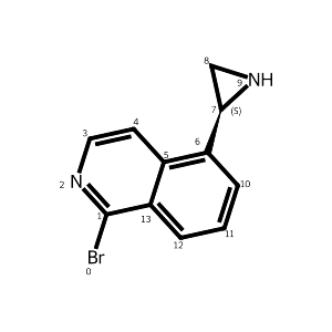 Brc1nccc2c([C@H]3CN3)cccc12